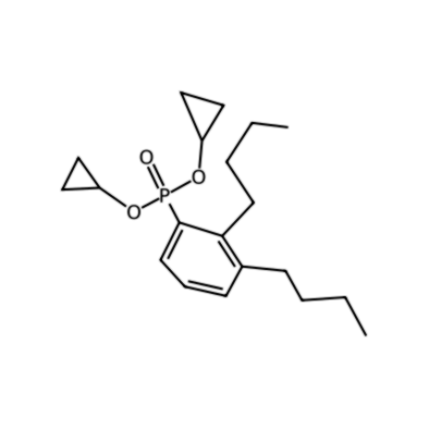 CCCCc1cccc(P(=O)(OC2CC2)OC2CC2)c1CCCC